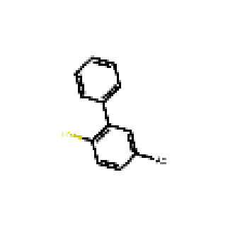 CC(=O)c1ccc(S)c(-c2ccccc2)c1